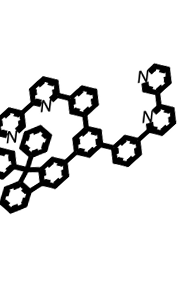 c1ccc(C2(c3ccccc3)c3ccccc3-c3ccc(-c4cc(-c5cccc(-c6cccc(-c7cccnc7)n6)c5)cc(-c5cccc(-c6cccc(-c7cccnc7)n6)c5)c4)cc32)cc1